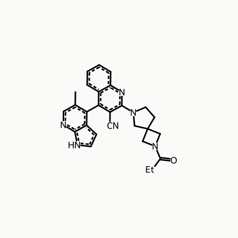 CCC(=O)N1CC2(CCN(c3nc4ccccc4c(-c4c(C)cnc5[nH]ccc45)c3C#N)C2)C1